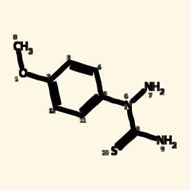 COc1ccc(N(N)C(N)=S)cc1